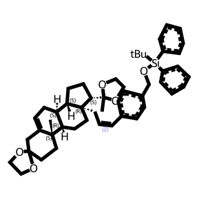 CC1([C@H]2CC[C@H]3[C@@H]4CC=C5CC6(CC[C@@]5(C)[C@@H]4CC[C@]23C/C=C\c2ccc(CO[Si](c3ccccc3)(c3ccccc3)C(C)(C)C)cc2)OCCO6)OCCO1